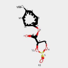 CC(C)(C)c1ccc(OC(=O)C2COS(=O)O2)cc1